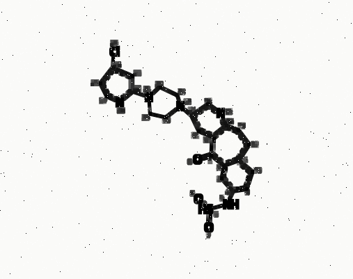 O=c1c2cc(N[SH](=O)=O)ccc2ccc2ncc(N3CCN(c4cc(Cl)ccn4)CC3)cc12